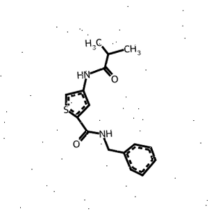 CC(C)C(=O)Nc1csc(C(=O)NCc2ccccc2)c1